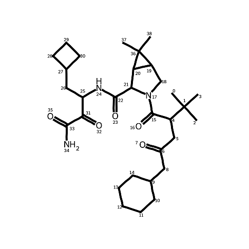 CC(C)(C)C(CC(=O)CC1CCCCC1)C(=O)N1CC2C(C1C(=O)NC(CC1CCC1)C(=O)C(N)=O)C2(C)C